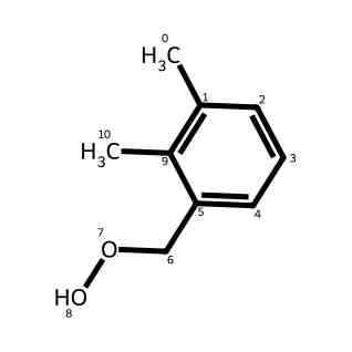 Cc1cccc(COO)c1C